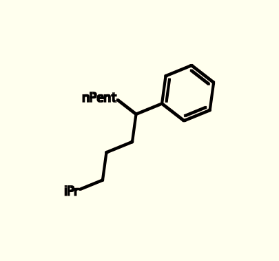 CCCCCC(CCCC(C)C)c1ccccc1